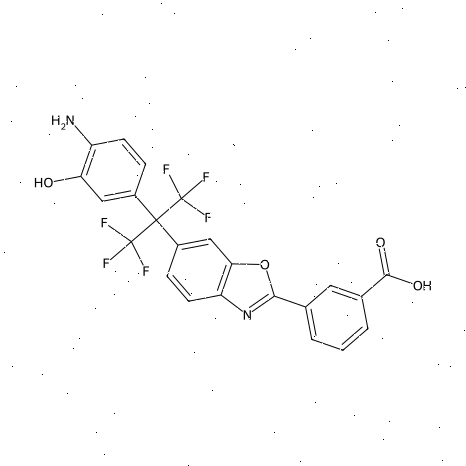 Nc1ccc(C(c2ccc3nc(-c4cccc(C(=O)O)c4)oc3c2)(C(F)(F)F)C(F)(F)F)cc1O